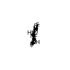 Cc1cc(C(F)(F)F)nn1CC(=O)Nc1cnc(-n2cnc([C@]3(C)CC(F)(F)CN3)c2)c(F)c1